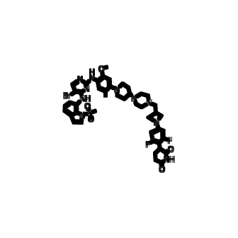 COc1cc(N2CCC(N3CCN(CC4CN(c5cc(F)c(C6CCC(=O)NC6=O)c(F)c5)C4)CC3)CC2)c(C)cc1Nc1ncc(Br)c(Nc2cccc3ccn(S(C)(=O)=O)c23)n1